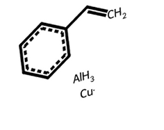 C=Cc1ccccc1.[AlH3].[Cu]